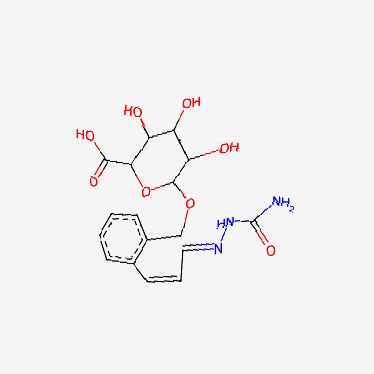 NC(=O)N/N=C/C=C\c1ccccc1COC1OC(C(=O)O)C(O)C(O)C1O